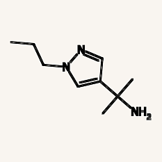 CCCn1cc(C(C)(C)N)cn1